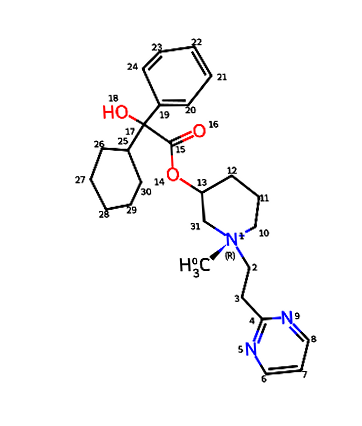 C[N@+]1(CCc2ncccn2)CCCC(OC(=O)C(O)(c2ccccc2)C2CCCCC2)C1